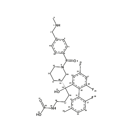 CNCc1ccc(C(=O)N2CCC[C@@H](C(O)(CCCNC(=O)O)c3cc(F)cc(F)c3-c3cc(C)ccc3F)C2)cc1